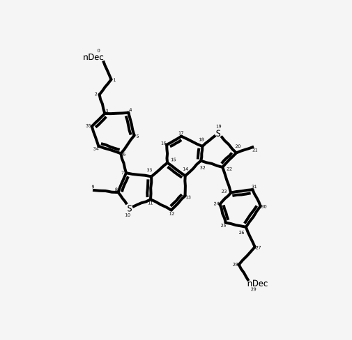 CCCCCCCCCCCCc1ccc(-c2c(C)sc3ccc4c(ccc5sc(C)c(-c6ccc(CCCCCCCCCCCC)cc6)c54)c23)cc1